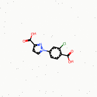 O=C(O)c1ccn(-c2ccc(C(=O)O)c(Cl)c2)n1